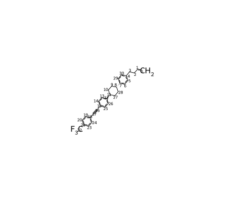 C=CCCc1ccc([C@H]2CC[C@H](c3ccc(C#Cc4ccc(C(F)(F)F)cc4)cc3)CC2)cc1